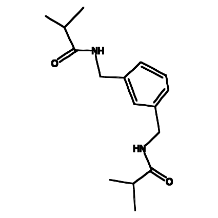 CC(C)C(=O)NCc1cccc(CNC(=O)C(C)C)c1